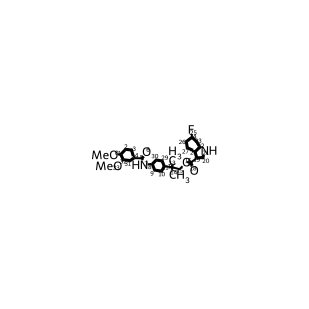 COc1ccc(C(=O)Nc2ccc(C(C)(C)COC(=O)c3c[nH]c4cc(F)ccc34)cc2)cc1OC